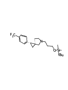 CC(C)(C)[Si](C)(C)OCCCN1CC[C@@]2(C[C@@H]2c2ccc(C(F)(F)F)cc2)C1